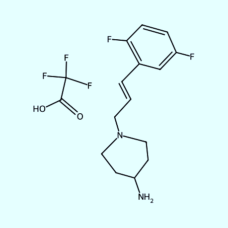 NC1CCN(C/C=C/c2cc(F)ccc2F)CC1.O=C(O)C(F)(F)F